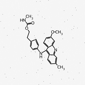 CNC(=O)OCCc1ccc(Nc2c3ccc(C)cc3nc3cc(OC)ccc23)cc1